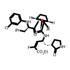 CCOC(=O)/C(F)=C\[C@@H](C[C@@H]1CCNC1=O)NC(=O)[C@@H]1[C@H]2CC[C@H](CC2(F)F)N1C(=O)[C@@H](CC(C)C)Nc1cccc(Cl)c1